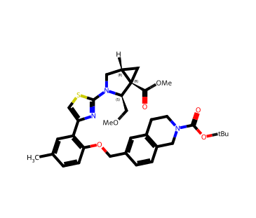 COC[C@H]1N(c2nc(-c3cc(C)ccc3OCc3ccc4c(c3)CCN(C(=O)OC(C)(C)C)C4)cs2)C[C@@H]2C[C@@]21C(=O)OC